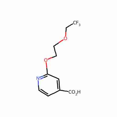 O=C(O)c1ccnc(OCCOCC(F)(F)F)c1